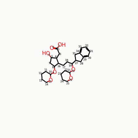 O=C(O)CC1C(O)CC(OC2CCCCO2)C1CCC(OC1CCCCO1)C1Cc2ccccc2C1